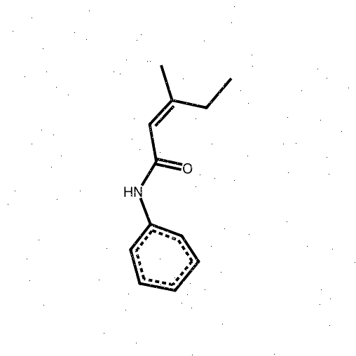 CC/C(C)=C\C(=O)Nc1ccccc1